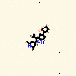 Cc1cc(-c2[nH]c3ccc(C4CCCCC4=O)cc3c2C(C)C)cc(C)n1